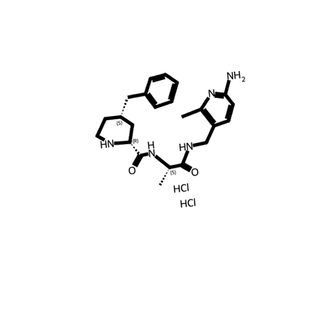 Cc1nc(N)ccc1CNC(=O)[C@H](C)NC(=O)[C@H]1C[C@@H](Cc2ccccc2)CCN1.Cl.Cl